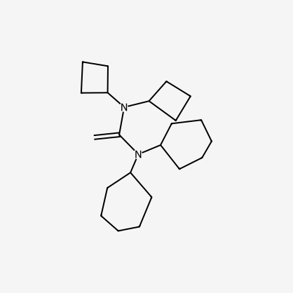 C=C(N(C1CCCCC1)C1CCCCC1)N(C1CCC1)C1CCC1